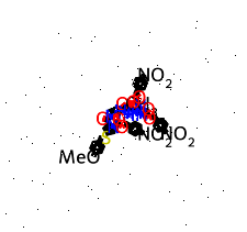 COc1ccc(CS[C@H]2C[C@@H](C(=O)N3CC[C@H](NC(=O)[C@H](C)N/C(=N\C(=O)OCc4ccc([N+](=O)[O-])cc4)NC(=O)OCc4ccc([N+](=O)[O-])cc4)C3)N(C(=O)OCc3ccc([N+](=O)[O-])cc3)C2)cc1